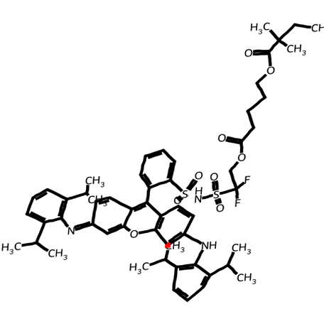 CCC(C)(C)C(=O)OCCCCC(=O)OCC(F)(F)S(=O)(=O)NS(=O)(=O)c1ccccc1-c1c2cc/c(=N\c3c(C(C)C)cccc3C(C)C)cc-2oc2cc(Nc3c(C(C)C)cccc3C(C)C)ccc12